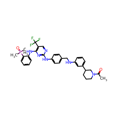 CC(=O)N1CCCC(c2cccc(NCc3ccc(Nc4ncc(C(F)(F)F)c(Nc5ccccc5P(C)(C)=O)n4)cc3)c2)C1